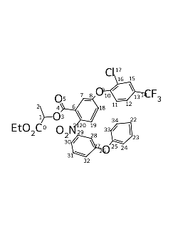 CCOC(=O)C(C)OC(=O)c1cc(Oc2ccc(C(F)(F)F)cc2Cl)ccc1[N+](=O)[O-].c1ccc(Oc2ccccc2)cc1